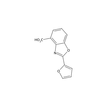 O=C(O)c1cccc2oc(-c3ccco3)nc12